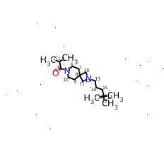 CC(C)C(=O)N1CCC2(CC1)CN(CCCC(C)(C)C)C2